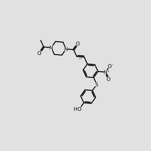 CC(=O)N1CCN(C(=O)/C=C/c2ccc(Sc3ccc(O)cc3)c([N+](=O)[O-])c2)CC1